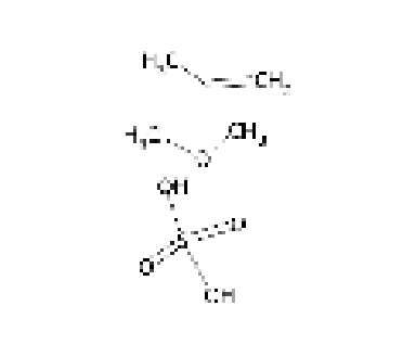 C=CC.COC.O=S(=O)(O)O